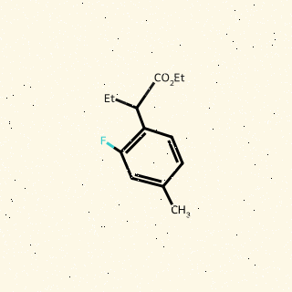 CCOC(=O)C(CC)c1ccc(C)cc1F